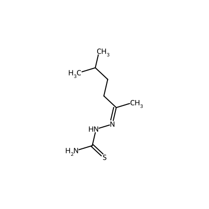 C/C(CCC(C)C)=N/NC(N)=S